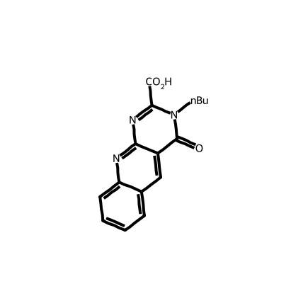 CCCCn1c(C(=O)O)nc2nc3ccccc3cc2c1=O